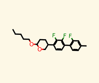 CCCCCOC1CCC(c2ccc(-c3ccc(C)cc3F)c(F)c2F)CO1